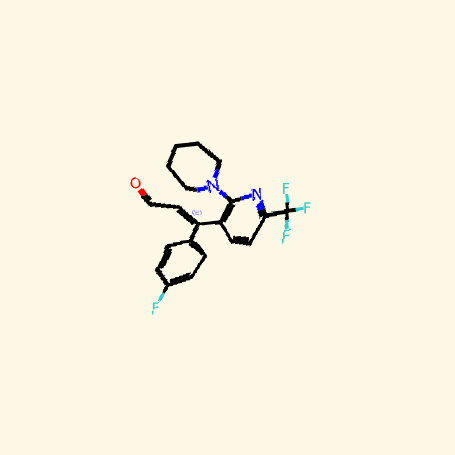 O=C/C=C(\c1ccc(F)cc1)c1ccc(C(F)(F)F)nc1N1CCCCC1